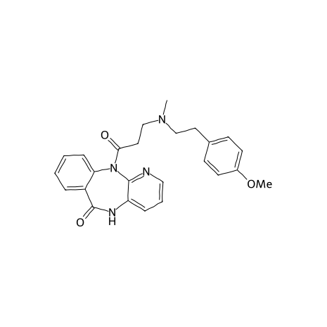 COc1ccc(CCN(C)CCC(=O)N2c3ccccc3C(=O)Nc3cccnc32)cc1